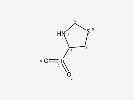 [O]=[Ti](=[O])[CH]1CSCN1